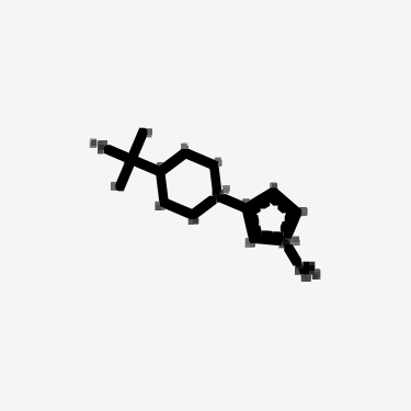 CC(C)(F)C1CCN(c2ccn(N)c2)CC1